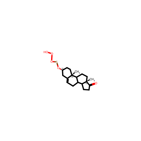 C[C@]12CC[C@H](OSOOO)CC1=CCC1C2CC[C@]2(C)C(=O)CCC12